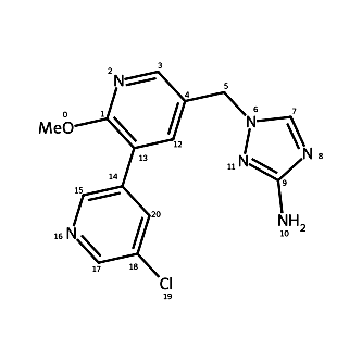 COc1ncc(Cn2cnc(N)n2)cc1-c1cncc(Cl)c1